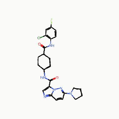 O=C(NC1CCC(C(=O)Nc2ccc(F)cc2Cl)CC1)c1cnc2ccc(N3CCCC3)nn12